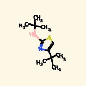 CC(C)(C)Bc1nc(C(C)(C)C)cs1